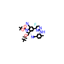 Cc1ccc(C#N)cc1Nc1ncc(F)c(-c2cc(C#N)c3c(c2)[C@@](C)(CO[Si](C)(C)C(C)(C)C)CN3C(=O)OC(C)(C)C)n1